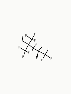 [CH2]CC(C(F)(F)F)(C(F)(F)F)C(F)(F)C(F)(F)C(F)(F)F